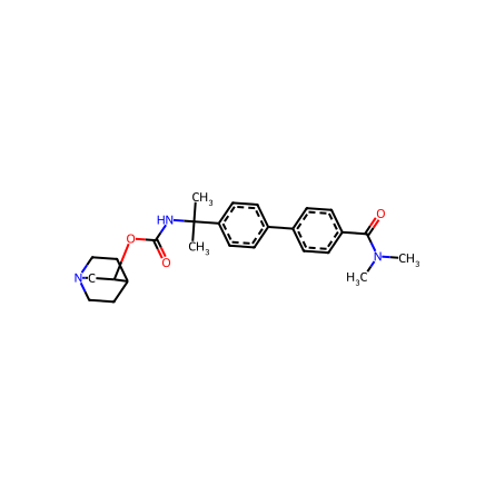 CN(C)C(=O)c1ccc(-c2ccc(C(C)(C)NC(=O)OC3CN4CCC3CC4)cc2)cc1